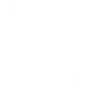 C#Cc1ccc2c(c1)C(=O)c1cc(C#C)ccc1-2